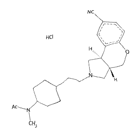 CC(=O)N(C)C1CCC(CCN2C[C@H]3COc4ccc(C#N)cc4[C@@H]3C2)CC1.Cl